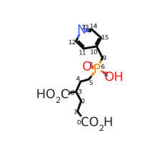 O=C(O)CCC(CCP(=O)(O)Cc1ccncc1)C(=O)O